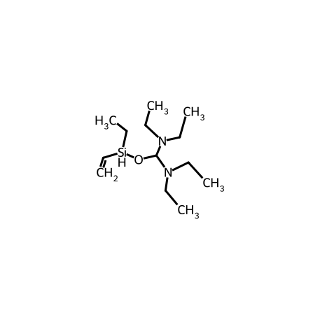 C=C[SiH](CC)OC(N(CC)CC)N(CC)CC